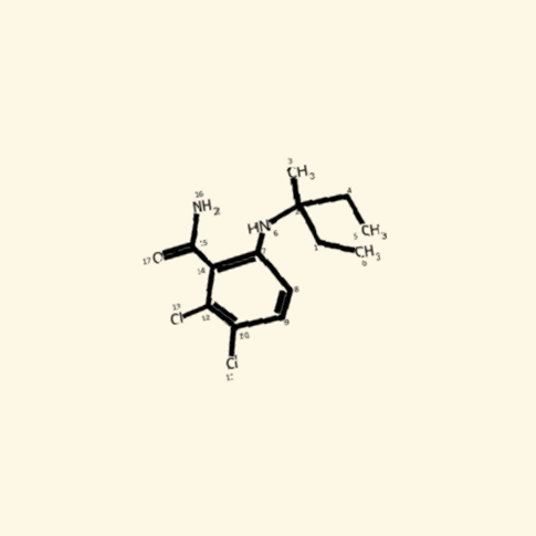 CCC(C)(CC)Nc1ccc(Cl)c(Cl)c1C(N)=O